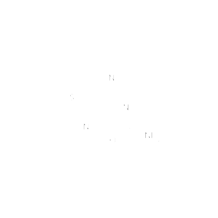 NC(=O)n1ccnc1-c1nccs1